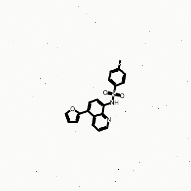 Cc1ccc(S(=O)(=O)Nc2ccc(-c3ccco3)c3cccnc23)cc1